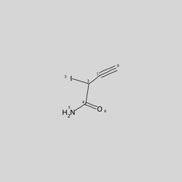 C#CC(I)C(N)=O